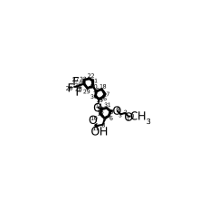 COCCOc1cc(CC(=O)O)cc(Oc2cccc(-c3cccc(C(F)(F)F)c3)c2)c1